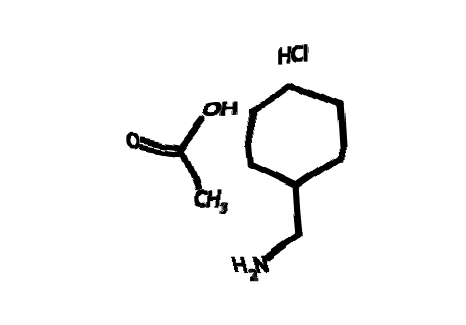 CC(=O)O.Cl.NCC1CCCCC1